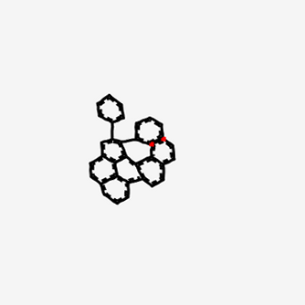 c1ccc(-c2cc3ccc4cccc5c6ccc7ccccc7c6c(c2-c2ccccc2)c3c45)cc1